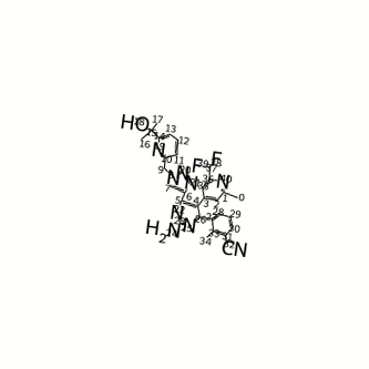 Cc1cc(-c2c(-c3cn(Cc4cccc(C(C)(C)O)n4)nn3)nc(N)nc2-c2cccc(C#N)c2C)cc(C(F)F)n1